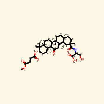 COC(=O)CCC(=O)O[C@H]1CC[C@]2(C)[C@H]3C(=O)C=C4[C@@H]5C[C@@](C)(C(=O)NC(CO)C(=O)O)CC[C@]5(C)CC[C@@]4(C)[C@]3(C)CC[C@H]2C1(C)C